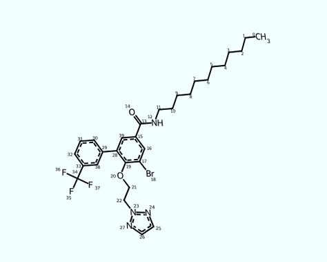 CCCCCCCCCCCCNC(=O)c1cc(Br)c(OCCn2nccn2)c(-c2cccc(C(F)(F)F)c2)c1